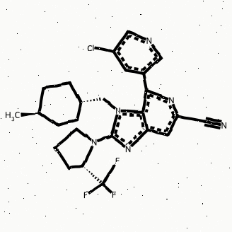 C[C@H]1CC[C@H](Cn2c(N3CCC[C@H]3C(F)(F)F)nc3cc(C#N)nc(-c4cncc(Cl)c4)c32)CC1